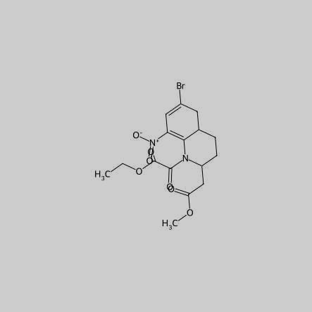 CCOC(=O)C(=O)N1C2=C([N+](=O)[O-])C=C(Br)CC2CCC1CC(=O)OC